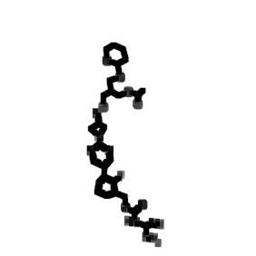 CC(=O)OCC(CON=C1CN(c2ncc(-c3cccc(COC(=O)NC(=N)N)c3F)cn2)C1)COC1CCCCO1